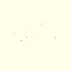 CCOC(=O)c1c(-c2ccccc2)oc2cc(C)c(C(C)=O)cc12